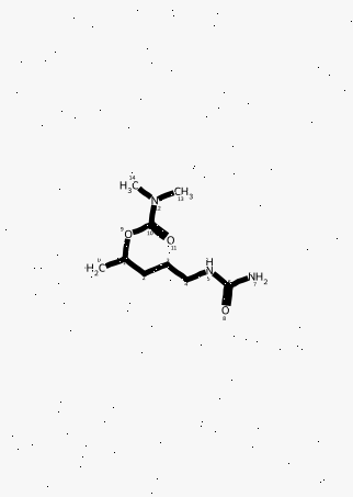 [CH2]C(CCCNC(N)=O)OC(=O)N(C)C